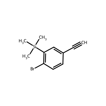 C#Cc1ccc(Br)c([Si](C)(C)C)c1